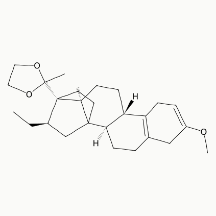 CC[C@@H]1CC23CC[C@@]1(C1(C)OCCO1)[C@@]2(C)CC[C@@H]1C2=C(CC[C@H]13)CC(OC)=CC2